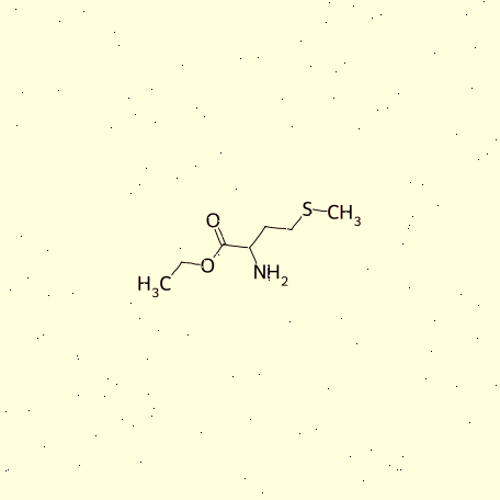 CCOC(=O)C(N)CCSC